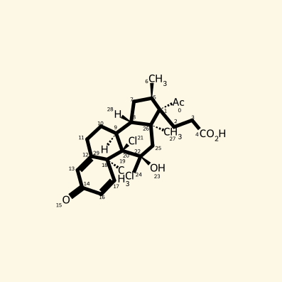 CC(=O)[C@@]1(CCC(=O)O)[C@H](C)C[C@H]2[C@@H]3CCC4=CC(=O)C=C[C@]4(C)[C@@]3(Cl)[C@@](O)(Cl)C[C@@]21C